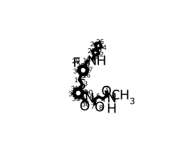 CNC(=O)CCC(C=O)N1Cc2c(SCc3ccc(CNC4CC5(CCC5)C4)c(F)c3)cccc2C1=O